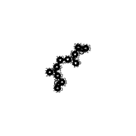 c1ccc(N(c2ccc(-c3cccc(-c4ccc(N(c5ccccc5)c5ccc(-c6cccc7c6oc6ccccc67)cc5)cc4)c3)cc2)c2ccc(-c3cccc4c3oc3ccccc34)cc2)cc#1